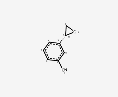 N#Cc1cccc([C@@H]2CO2)c1